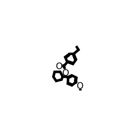 CCc1ccc(C(=O)OC2(c3ccc(OC)cc3)CCCCC2)cc1